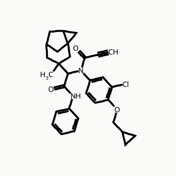 C#CC(=O)N(c1ccc(OCC2CC2)c(Cl)c1)C(C(=O)Nc1ccccc1)C1(C)CC2CC3CC3(C2)C1